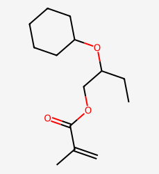 C=C(C)C(=O)OCC(CC)OC1CCCCC1